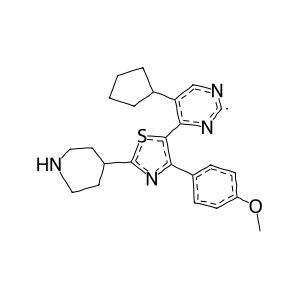 COc1ccc(-c2nc(C3CCNCC3)sc2-c2n[c]ncc2C2CCCC2)cc1